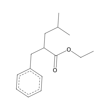 CCOC(=O)C(Cc1ccccc1)CC(C)C